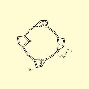 C1=Cc2cc3ccc(cc4nc(cc5ccc(cc1n2)[nH]5)C=C4)[nH]3.CC(=O)O.[Mn]